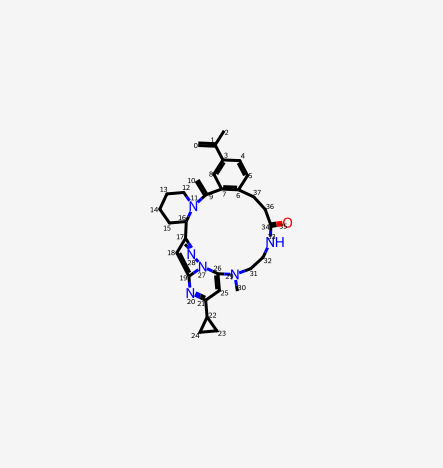 C=C(C)c1ccc2c(c1)C(=C)N1CCCCC1c1cc3nc(C4CC4)cc(n3n1)N(C)CCNC(=O)CC2